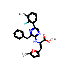 CC(C)(C)OC(=O)/C(=C/c1ccc(C(F)(F)F)o1)Nc1ncc(-c2cccc([N+](=O)[O-])c2F)nc1Cc1ccccc1